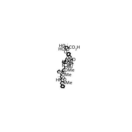 C#CCOc1cc(OC2O[C@H](C(=O)O)[C@@H](C)[C@H](O)[C@H]2O)ccc1COC(=O)N(C)[C@H](C(=O)N[C@H](C(=O)N(C)[C@@H](C(C)CC)[C@@H](CC(=O)N1CCC[C@H]1[C@H](OC)[C@@H](C)C(=O)NC(Cc1ccccc1)C(=O)NC)OC)C(C)C)C(C)C